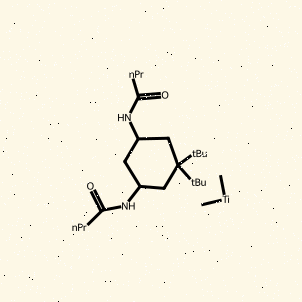 CCCC(=O)NC1CC(NC(=O)CCC)CC(C(C)(C)C)(C(C)(C)C)C1.[CH3][Ti][CH3]